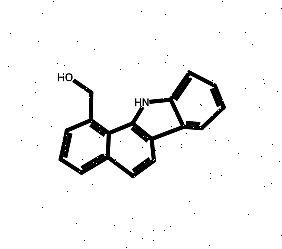 OCc1cccc2ccc3c4ccccc4[nH]c3c12